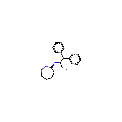 CC(N=C1CCCCCN1)C(c1ccccc1)c1ccccc1